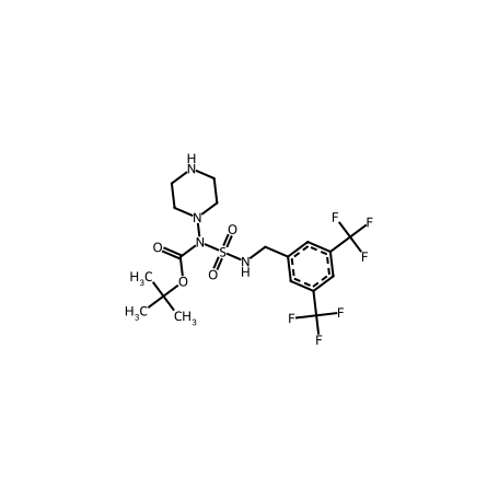 CC(C)(C)OC(=O)N(N1CCNCC1)S(=O)(=O)NCc1cc(C(F)(F)F)cc(C(F)(F)F)c1